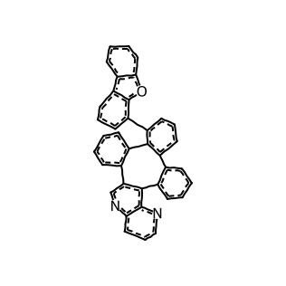 c1ccc2c(c1)-c1cnc3cccnc3c1-c1ccccc1-c1cccc(-c3cccc4c3oc3ccccc34)c1-2